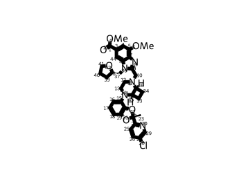 COC(=O)c1cc(OC)c2nc(CN3CCN(c4cccc5c4O[C@](C)(c4ccc(Cl)cn4)O5)[C@@H]4CC[C@H]43)n(C[C@@H]3CCCO3)c2c1